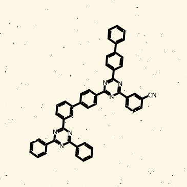 N#Cc1cccc(-c2nc(-c3ccc(-c4ccccc4)cc3)nc(-c3ccc(-c4cccc(-c5nc(-c6ccccc6)nc(-c6ccccc6)n5)c4)cc3)n2)c1